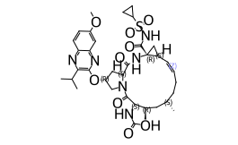 COc1ccc2nc(C(C)C)c(O[C@@H]3C[C@H]4C(=O)N[C@]5(C(=O)NS(=O)(=O)C6CC6)C[C@H]5/C=C\CC[C@H](C)C[C@@H](C)[C@H](NC(=O)O)C(=O)N4C3)nc2c1